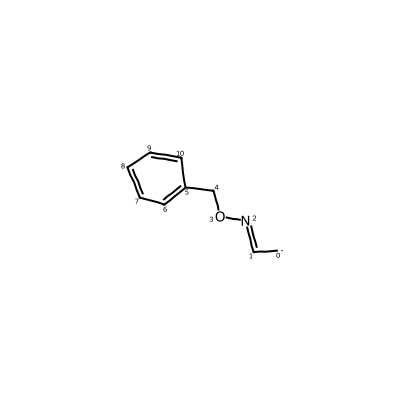 [CH2]/C=N/OCc1ccccc1